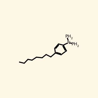 CCCCCCCCc1ccc(N(P)P)cc1